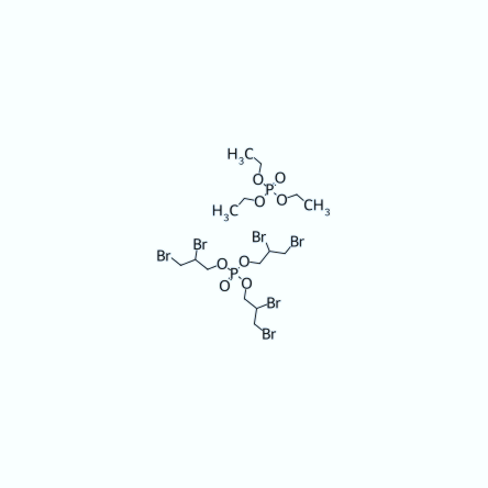 CCOP(=O)(OCC)OCC.O=P(OCC(Br)CBr)(OCC(Br)CBr)OCC(Br)CBr